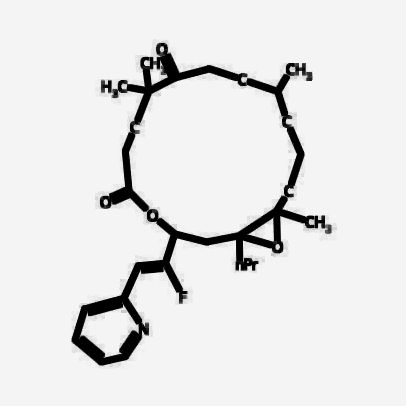 CCCC12CC(C(F)=Cc3ccccn3)OC(=O)CCC(C)(C)C(=O)CCC(C)CCCC1(C)O2